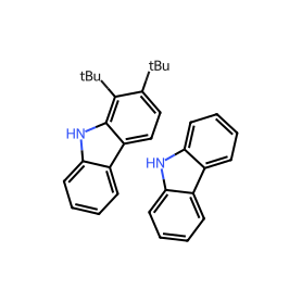 CC(C)(C)c1ccc2c([nH]c3ccccc32)c1C(C)(C)C.c1ccc2c(c1)[nH]c1ccccc12